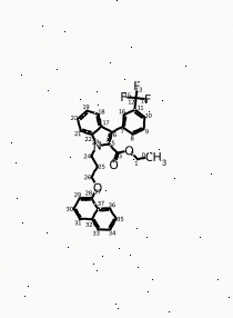 CCOC(=O)c1c(-c2cccc(C(F)(F)F)c2)c2ccccc2n1CCCOc1cccc2ccccc12